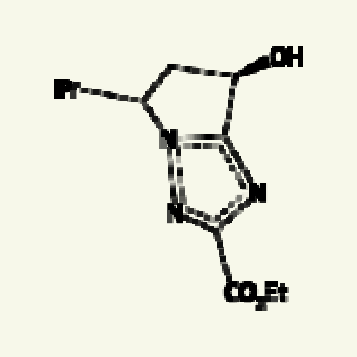 CCOC(=O)c1nc2n(n1)C(C(C)C)C[C@H]2O